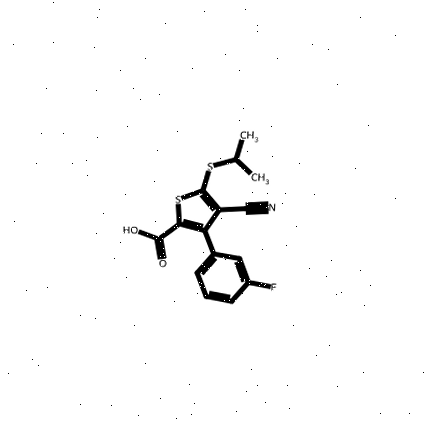 CC(C)Sc1sc(C(=O)O)c(-c2cccc(F)c2)c1C#N